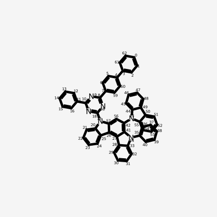 c1ccc(-c2ccc(-c3nc(-c4ccccc4)nc(-n4c5ccccc5c5c6c7ccccc7n(-c7ccccc7)c6c(-n6c7ccccc7c7ccccc76)cc54)n3)cc2)cc1